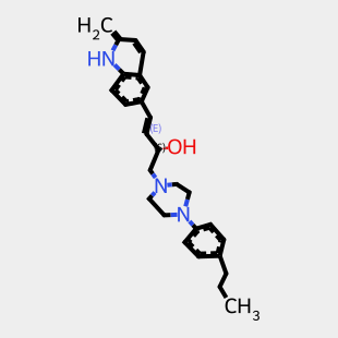 C=C1C=Cc2cc(/C=C/[C@H](O)CN3CCN(c4ccc(CCC)cc4)CC3)ccc2N1